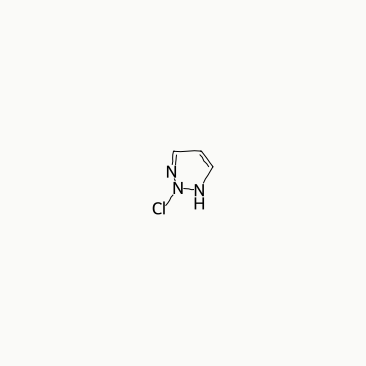 ClN1N=CC=CN1